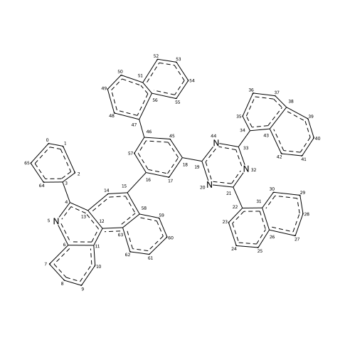 c1ccc(-c2nc3ccccc3c3c2cc(-c2cc(-c4nc(-c5cccc6ccccc56)nc(-c5cccc6ccccc56)n4)cc(-c4cccc5ccccc45)c2)c2ccccc23)cc1